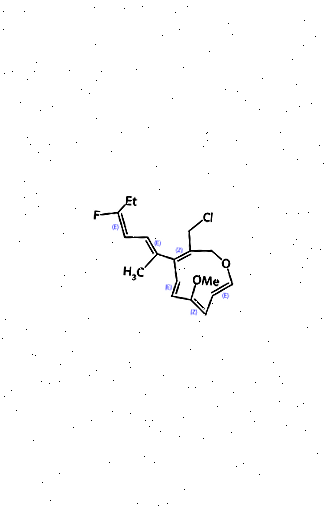 CC\C(F)=C/C=C(C)/C1=C(\CCl)CO\C=C\C=C(OC)\C=C\1